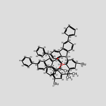 CC1=C(/C=C\C(C)c2ccccc2)B(c2cc(C(C)(C)C)cc3c2Oc2c(B4c5ccc(-c6ccccc6)cc5-c5cc(-c6ccccc6)ccc54)cc(C(C)(C)C)cc2C3(C)C)c2ccc(-c3ccccc3)cc21